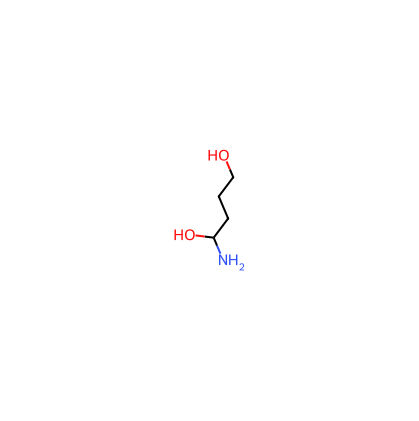 NC(O)CCCO